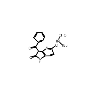 CC(C)(C)NC=O.O=C1Nc2ccc(Cl)nc2C1C(=O)c1ccccc1